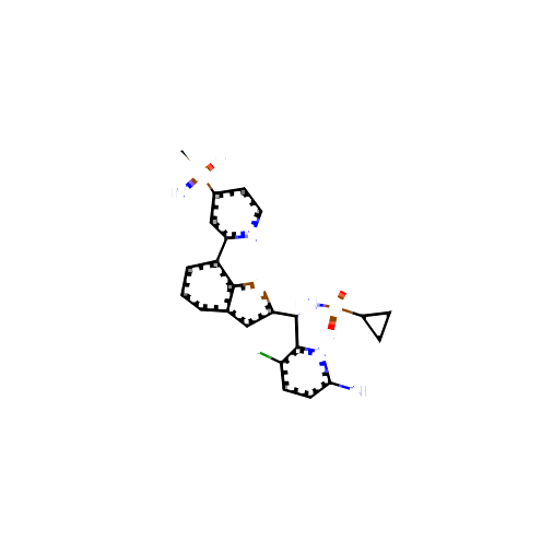 C[S@@](=N)(=O)c1ccnc(-c2cccc3cc([C@H](NS(=O)(=O)C4CC4)c4nc(N)ccc4Cl)sc23)c1